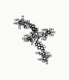 CC(CCCC(CCCC(C)C1CCC2C3CCC4CC(O[C@@H]5OC(CO)[C@@H](O[C@H]6OC(CO)[C@@H](O)C(O)[C@@H]6O)C(O)[C@@H]5C)CCC4(C)C3CCC12C)(CO[C@H]1OC(CO)[C@H](O[C@@H]2OC(CO)[C@H](O)C(O)[C@H]2O)C(O)[C@H]1O)CO[C@@H]1OC(CO)[C@@H](O[C@H]2OC(CO)[C@@H](O)C(O)[C@@H]2O)C(O)[C@@H]1O)C1CCC2C3CCC4CC(O[C@H]5OC(CO)[C@H](O[C@@H]6OC(CO)[C@H](O)C(O)[C@H]6O)C(O)[C@H]5O)CCC4(C)C3CCC12C